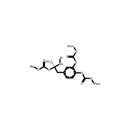 CCCC(C)OC(=O)Oc1ccc(C[C@](NC(C)C)(OC(=O)OC(C)(C)C)C(=O)O)cc1OC(=O)OC(C)CCC